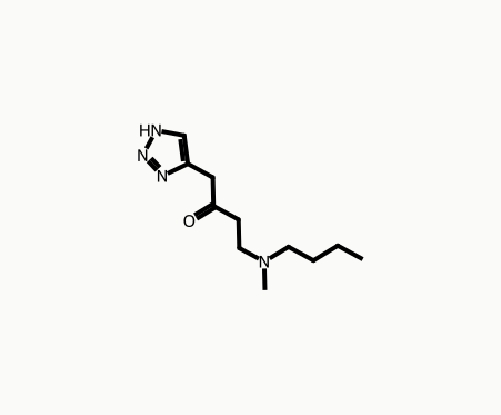 CCCCN(C)CCC(=O)Cc1c[nH]nn1